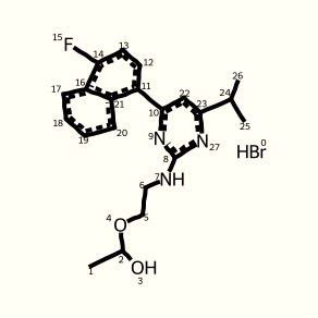 Br.CC(O)OCCNc1nc(-c2ccc(F)c3ccccc23)cc(C(C)C)n1